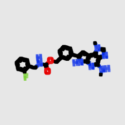 CNc1nc2[nH]c(-c3cccc(COC(=O)NCc4ccccc4F)c3)cc2c2c1ncn2C